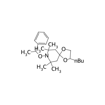 CCCCC1COC2(CC(C)(C)N(OC(C)c3ccccc3)C(C)(C)C2)O1